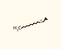 CCCCCCCCCCCCSCC1CC1